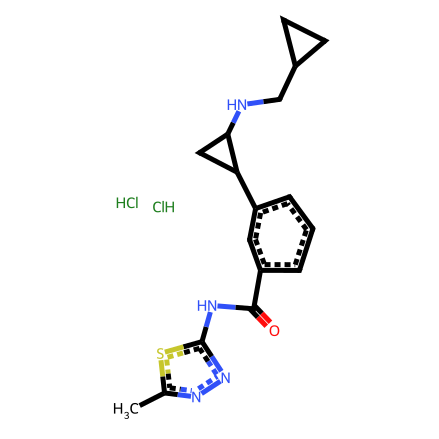 Cc1nnc(NC(=O)c2cccc(C3CC3NCC3CC3)c2)s1.Cl.Cl